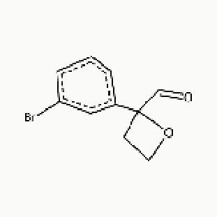 O=CC1(c2cccc(Br)c2)CCO1